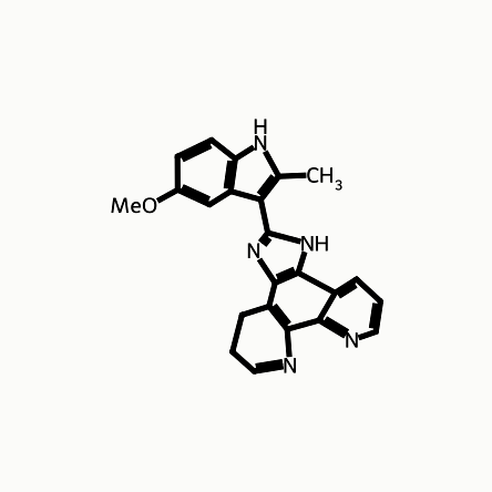 COc1ccc2[nH]c(C)c(-c3nc4c5c(c6ncccc6c4[nH]3)N=CCC5)c2c1